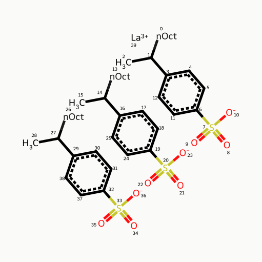 CCCCCCCCC(C)c1ccc(S(=O)(=O)[O-])cc1.CCCCCCCCC(C)c1ccc(S(=O)(=O)[O-])cc1.CCCCCCCCC(C)c1ccc(S(=O)(=O)[O-])cc1.[La+3]